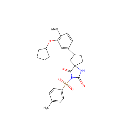 COc1ccc(C2CCC3(C2)NC(=O)N(S(=O)(=O)c2ccc(C)cc2)C3=O)cc1OC1CCCC1